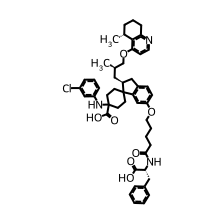 C[C@@H](COc1ccnc2c1[C@H](C)CCC2)C[C@H]1Cc2ccc(OCCCCC(=O)N[C@H](Cc3ccccc3)C(=O)O)cc2C12CCC(Nc1cccc(Cl)c1)(C(=O)O)CC2